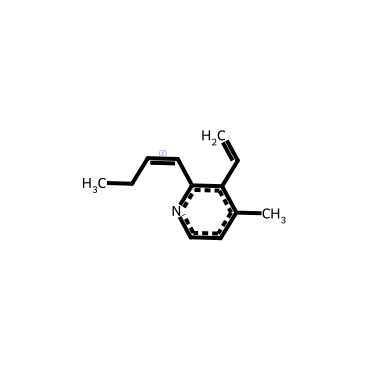 C=Cc1c(C)ccnc1/C=C\CC